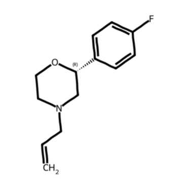 C=CCN1CCO[C@H](c2ccc(F)cc2)C1